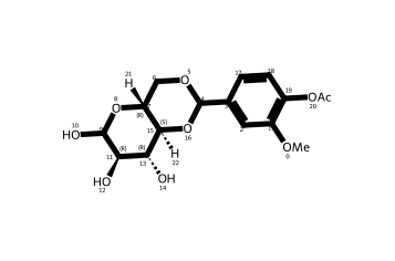 COc1cc(C2OC[C@H]3OC(O)[C@H](O)[C@@H](O)[C@@H]3O2)ccc1OC(C)=O